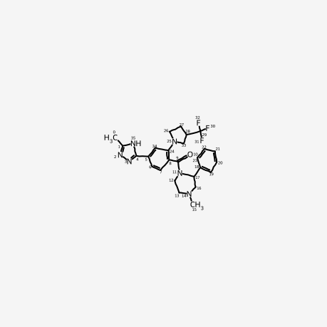 Cc1nnc(-c2ccc(C(=O)N3CCN(C)CC3c3ccccc3)c(N3CCC(C(F)(F)F)C3)c2)[nH]1